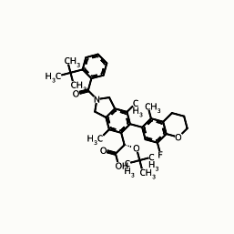 Cc1c(-c2c(C)c3c(c(C)c2[C@H](OC(C)(C)C)C(=O)O)CN(C(=O)c2ccccc2C(C)(C)C)C3)cc(F)c2c1CCCO2